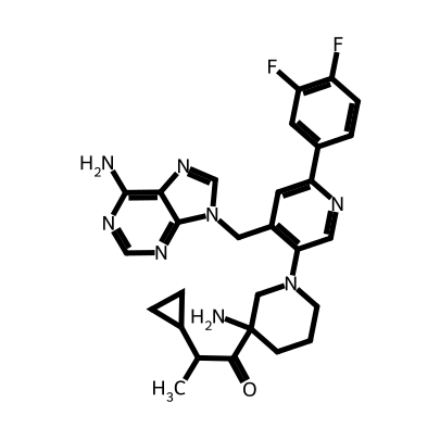 CC(C(=O)C1(N)CCCN(c2cnc(-c3ccc(F)c(F)c3)cc2Cn2cnc3c(N)ncnc32)C1)C1CC1